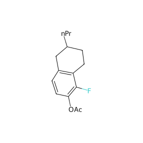 CCCC1CCc2c(ccc(OC(C)=O)c2F)C1